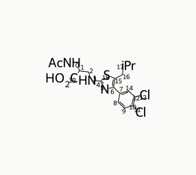 CC(=O)NC(CNc1nc(-c2ccc(Cl)c(Cl)c2)c(CC(C)C)s1)C(=O)O